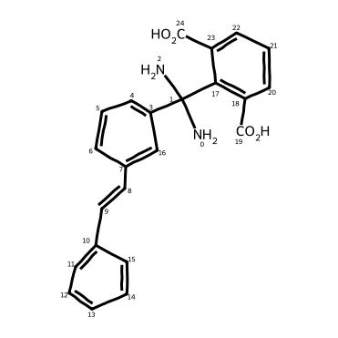 NC(N)(c1cccc(C=Cc2ccccc2)c1)c1c(C(=O)O)cccc1C(=O)O